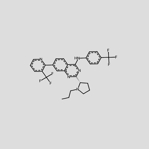 CCCN1CCC[C@H]1c1nc(Nc2ccc(C(F)(F)F)cc2)c2ccc(-c3ncccc3C(F)(F)F)cc2n1